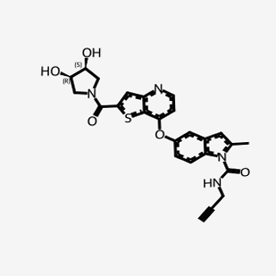 C#CCNC(=O)n1c(C)cc2cc(Oc3ccnc4cc(C(=O)N5C[C@@H](O)[C@@H](O)C5)sc34)ccc21